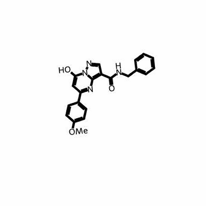 COc1ccc(-c2cc(O)n3ncc(C(=O)NCc4ccccc4)c3n2)cc1